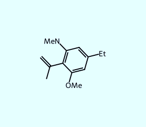 C=C(C)c1c(NC)cc(CC)cc1OC